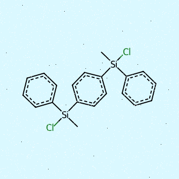 C[Si](Cl)(c1ccccc1)c1ccc([Si](C)(Cl)c2ccccc2)cc1